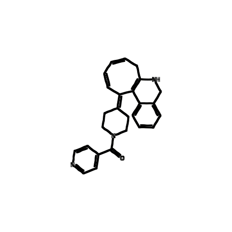 O=C(c1ccncc1)N1CCC(=C2/C=C\C=C/CC3=C2c2ccccc2CN3)CC1